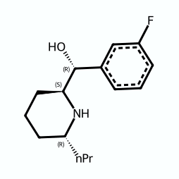 CCC[C@@H]1CCC[C@@H]([C@H](O)c2cccc(F)c2)N1